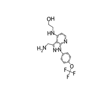 NCc1nn(-c2ccc(OC(F)(F)F)cc2)c2nccc(NCCO)c12